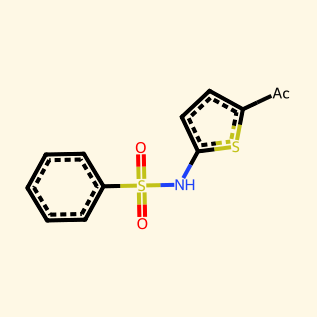 CC(=O)c1ccc(NS(=O)(=O)c2ccccc2)s1